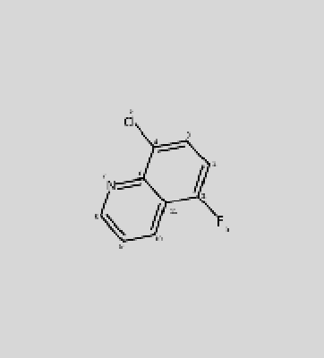 Fc1ccc(Cl)c2ncccc12